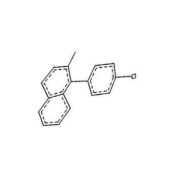 Cc1[c]cc2ccccc2c1-c1ccc(Cl)cc1